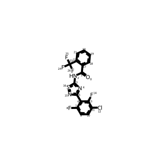 O=C(Nc1nc(-c2c(F)ccc(Cl)c2F)ns1)c1ccccc1C(F)(F)F